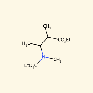 CCOC(=O)C(C)C(C)N(C)C(=O)OCC